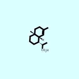 CC1=C[C@@H]2[C@H](C(C)C(=O)O)CCC[C@]2(C)CC1